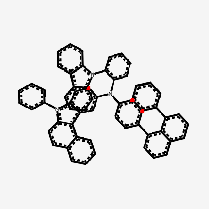 c1ccc(-c2cccc3cccc(-c4ccc(N(c5ccc6c(c5)c5c7ccccc7ccc5n6-c5ccccc5)c5ccccc5-n5c6ccccc6c6ccccc65)cc4)c23)cc1